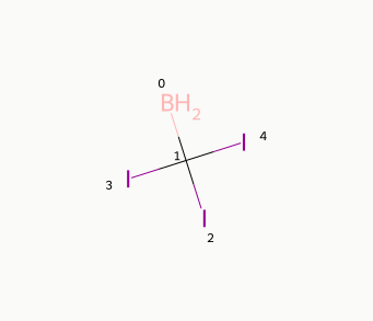 BC(I)(I)I